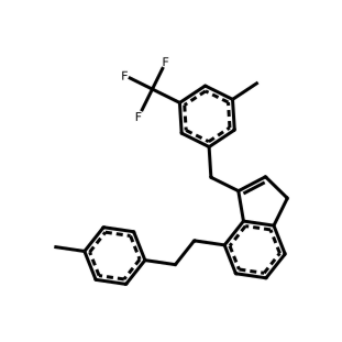 Cc1ccc(CCc2cccc3c2C(Cc2cc(C)cc(C(F)(F)F)c2)=CC3)cc1